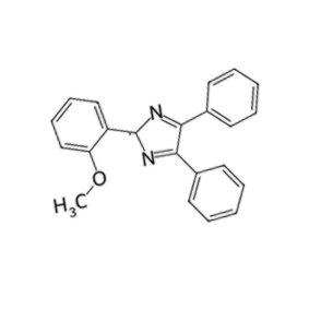 COc1ccccc1[C]1N=C(c2ccccc2)C(c2ccccc2)=N1